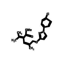 COC(=O)C(/C=C(/C)COc1ccn(-c2ccc(Cl)cc2)n1)=C(C)C